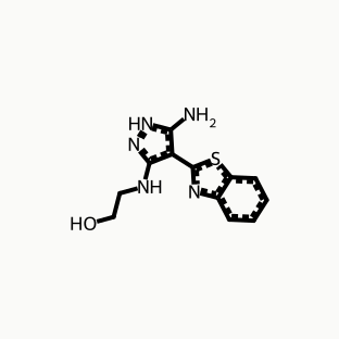 Nc1[nH]nc(NCCO)c1-c1nc2ccccc2s1